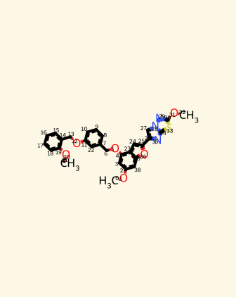 COc1cc(OCc2cccc(OCc3ccccc3OC)c2)c2cc(-c3cn4nc(OC)sc4n3)oc2c1